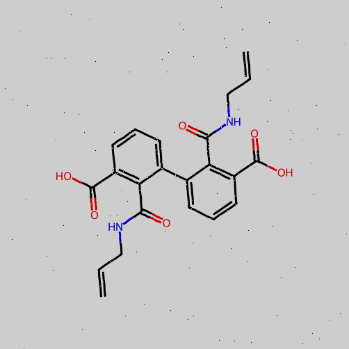 C=CCNC(=O)c1c(C(=O)O)cccc1-c1cccc(C(=O)O)c1C(=O)NCC=C